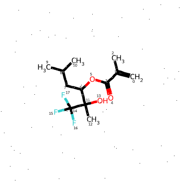 C=C(C)C(=O)OC(CC(C)C)C(C)(O)C(F)(F)F